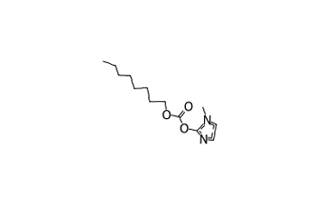 CCCCCCCCOC(=O)Oc1nccn1C